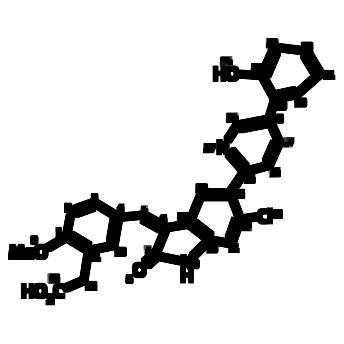 COc1ccc(C=C2C(=O)Nc3cc(Cl)c(-c4ccc(-c5ccccc5O)cn4)cc32)cc1CC(=O)O